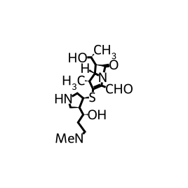 CNCC[C@@H](O)[C@H]1CNC[C@H]1SC1=C(C=O)N2C(=O)[C@H]([C@@H](C)O)[C@H]2[C@H]1C